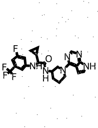 O=C(NC1CCCN(c2ncnc3[nH]ccc23)C1)[C@H](Nc1cc(F)cc(C(F)(F)F)c1)C1CC1